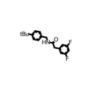 CC(C)(C)c1ccc(CNC(=O)Cc2cc(F)cc(F)c2)cc1